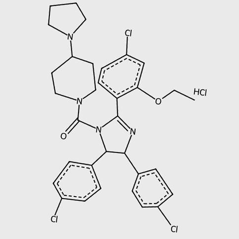 CCOc1cc(Cl)ccc1C1=NC(c2ccc(Cl)cc2)C(c2ccc(Cl)cc2)N1C(=O)N1CCC(N2CCCC2)CC1.Cl